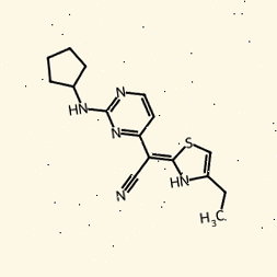 CCC1=CSC(=C(C#N)c2ccnc(NC3CCCC3)n2)N1